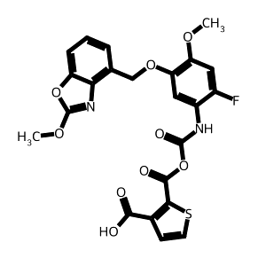 COc1nc2c(COc3cc(NC(=O)OC(=O)c4sccc4C(=O)O)c(F)cc3OC)cccc2o1